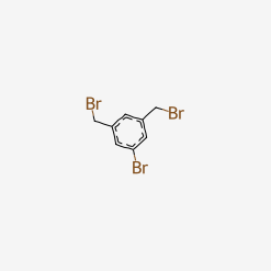 BrCc1cc(Br)cc(CBr)c1